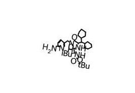 CCC(C)[C@H](NC(=O)OC(C)(C)C)C(=O)N[C@@H](C(=O)NCc1ccc(N)nc1)C(C1CCCCC1)C1CCCCC1